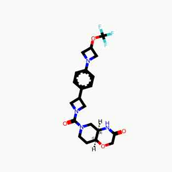 O=C1CO[C@H]2CCN(C(=O)N3CC(c4ccc(N5CC(OC(F)(F)F)C5)cc4)C3)C[C@H]2N1